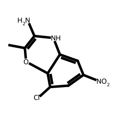 CC1=C(N)Nc2cc([N+](=O)[O-])cc(Cl)c2O1